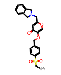 CC(C)CS(=O)(=O)c1ccc(COc2coc(CN3Cc4ccccc4C3)cc2=O)cc1